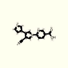 N#Cc1cn(-c2ccc(C(=O)O)cn2)cc1-c1ccsc1